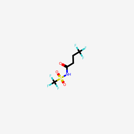 O=C(CCC(F)(F)F)NS(=O)(=O)C(F)(F)F